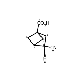 N#C[C@H]1CC2(C(=O)O)CC1C2